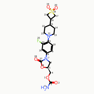 NC(=O)OC[C@@H]1CN(c2ccc(N3CCC(C4CS(=O)(=O)C4)CC3)c(F)c2)C(=O)O1